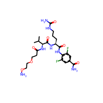 CC(C)[C@H](NC(=O)CCOCCON)C(=O)N[C@@H](CCCNC(N)=O)C(=O)Nc1c(F)cc(C(N)=O)cc1F